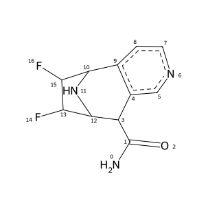 NC(=O)C1c2cnccc2C2NC1C(F)C2F